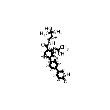 CC(C)Nc1c(C(=O)NC[C@@H](F)C(C)(C)O)c[nH]c2c3ccc(-c4ccc(=O)[nH]c4)cc3nc1-2